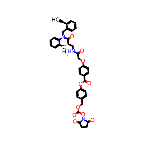 C#Cc1ccccc1CN(C(=O)CCNC(=O)COc1ccc(C(=O)Oc2ccc(COC(=O)ON3C(=O)CCC3=O)cc2)cc1)c1ccccc1C